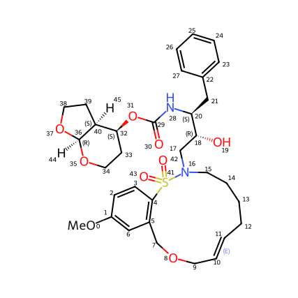 COc1ccc2c(c1)COC/C=C/CCCCN(C[C@@H](O)[C@H](Cc1ccccc1)NC(=O)O[C@H]1CCO[C@H]3OCC[C@H]31)S2(=O)=O